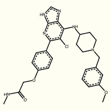 CNC(=O)COc1ccc(-c2nc3[nH]cnc3c(NC3CCN(Cc4cccc(OC)c4)CC3)c2Cl)cc1